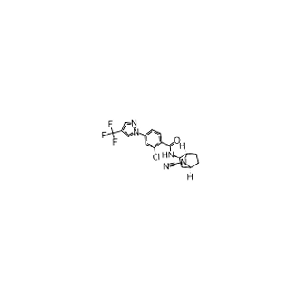 N#CN1[C@H]2CC[C@@H]1[C@H](NC(=O)c1ccc(-n3cc(C(F)(F)F)cn3)cc1Cl)C2